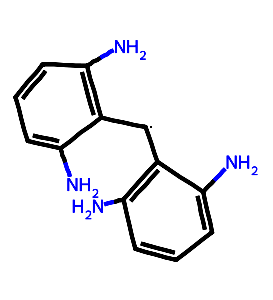 Nc1cccc(N)c1[CH]c1c(N)cccc1N